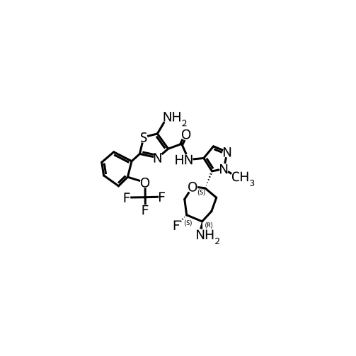 Cn1ncc(NC(=O)c2nc(-c3ccccc3OC(F)(F)F)sc2N)c1[C@@H]1CC[C@@H](N)[C@H](F)CO1